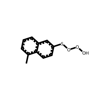 Cc1cccc2cc(SOOO)ccc12